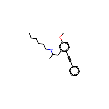 CCCCCCNC(C)Cc1cc(OC)ccc1C#Cc1ccccc1